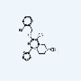 CN1CCc2c(-c3cccs3)nc(OCc3ccccc3Br)c(C#N)c2C1